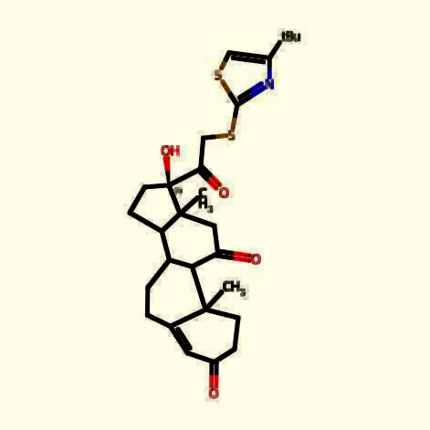 CC(C)(C)c1csc(SCC(=O)[C@@]2(O)CCC3C4CCC5=CC(=O)CCC5(C)C4C(=O)CC32C)n1